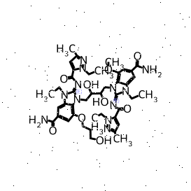 CCn1nc(C)cc1C(=O)/N=c1\n(CC)c2cc(C(N)=O)cc(OC)c2n1CC(O)C(O)Cn1/c(=N/C(=O)c2cc(C)nn2CC)n(CC)c2cc(C(N)=O)cc(OCCCO)c21